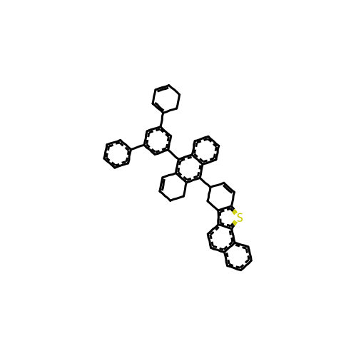 C1=CCCC(c2cc(-c3ccccc3)cc(-c3c4c(c(C5C=Cc6sc7c(ccc8ccccc87)c6C5)c5ccccc35)CCC=C4)c2)=C1